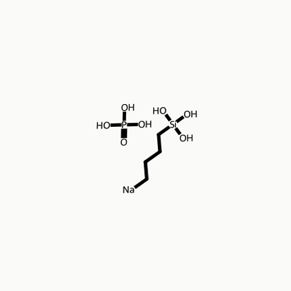 O=P(O)(O)O.O[Si](O)(O)CCC[CH2][Na]